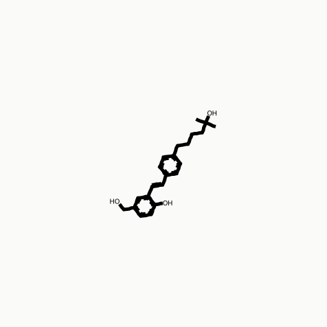 CC(C)(O)CCCCc1ccc(C=Cc2cc(CO)ccc2O)cc1